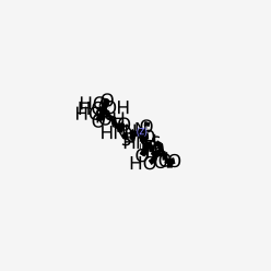 CO/N=C(\C(=O)N[C@@H]1C(=O)N2C(C(=O)O)=C(COC(C)=O)CS[C@@H]12)c1csc(NC(=O)CCCCC(O)(P(=O)(O)O)P(=O)(O)O)n1